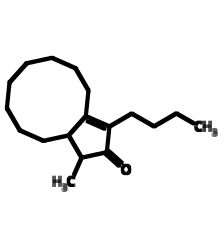 CCCCC1=C2CCCCCCCCC2C(C)C1=O